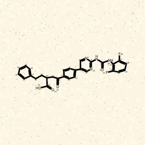 O=C(Nc1ncc(-c2ccc(C(=O)CC(CCc3ccccc3)C(=O)O)cc2)cn1)Nc1c(F)cccc1F